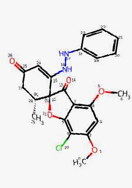 COc1cc(OC)c2c(c1Cl)O[C@]1(C2=O)C(NNc2ccccc2)=CC(=O)C[C@H]1C